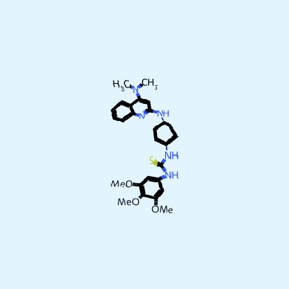 COc1cc(NC(=S)N[C@H]2CC[C@@H](Nc3cc(N(C)C)c4ccccc4n3)CC2)cc(OC)c1OC